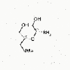 B[C@@H](CO)O[C@@H](CO)CNC